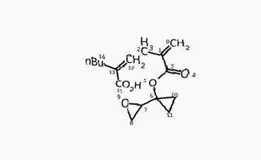 C=C(C)C(=O)OC1(C2CO2)CC1.C=C(CCCC)C(=O)O